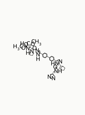 COC(=O)N[C@H](C(=O)N1CCC[C@H]1c1ncc(-c2ccc(-c3ccc(-c4cnc(C5C6CCC(C6)[C@@H]5C(=O)NCc5cncnc5)[nH]4)cc3)cc2)[nH]1)[C@@H](C)OC